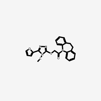 CCn1c(SCC(=O)N2c3ccccc3CCc3ccccc32)nnc1-c1ccco1